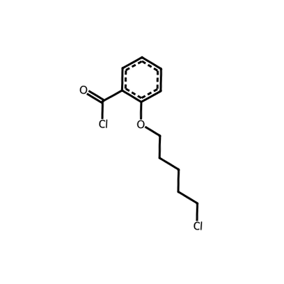 O=C(Cl)c1ccccc1OCCCCCCl